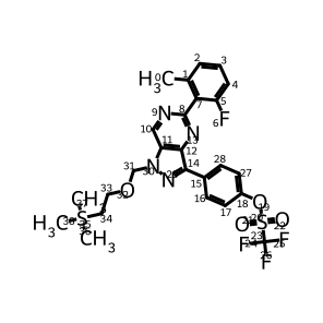 Cc1cccc(F)c1-c1ncc2c(n1)c(-c1ccc(OS(=O)(=O)C(F)(F)F)cc1)nn2COCCS(C)(C)C